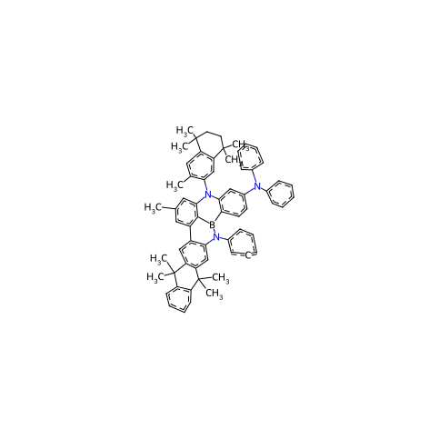 Cc1cc2c3c(c1)N(c1cc4c(cc1C)C(C)(C)CCC4(C)C)c1cc(N(c4ccccc4)c4ccccc4)ccc1B3N(c1ccccc1)c1cc3c(cc1-2)C(C)(C)c1ccccc1C3(C)C